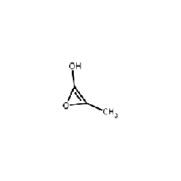 CC1=C(O)O1